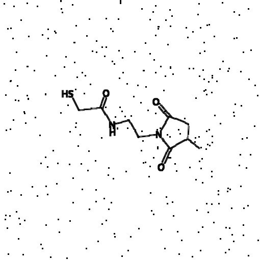 CC1CC(=O)N(CCNC(=O)CS)C1=O